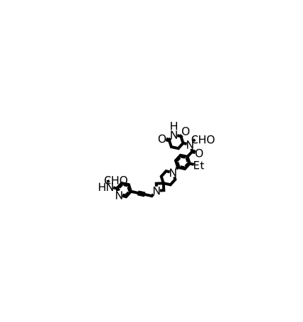 CCc1cc(N2CCC3(CC2)CN(CC#Cc2ccc(NC=O)nc2)C3)ccc1C(=O)N(C=O)C1CCC(=O)NC1=O